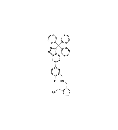 CCN1CCC[C@H]1CNCc1cc(-c2ccc3c(c2)nnn3C(c2ccccc2)(c2ccccc2)c2ccccc2)ccc1F